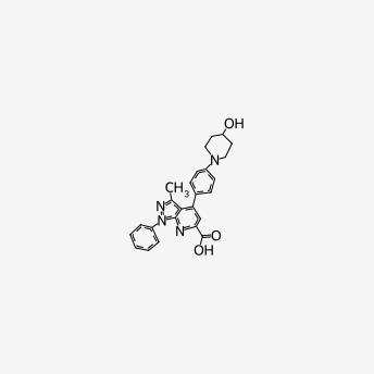 Cc1nn(-c2ccccc2)c2nc(C(=O)O)cc(-c3ccc(N4CCC(O)CC4)cc3)c12